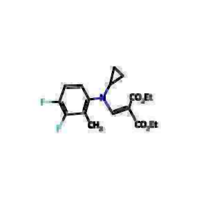 CCOC(=O)C(=CN(c1ccc(F)c(F)c1C)C1CC1)C(=O)OCC